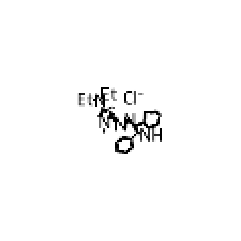 CCN(CC)c1c[n+](C)c(N=Nc2c(-c3ccccc3)[nH]c3ccccc23)s1.[Cl-]